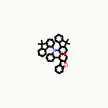 CC1(C)c2ccccc2-c2c(N(c3ccccc3-c3cccc4oc5ccccc5c34)c3cccc4c3-c3ccccc3C4(C)C)cccc21